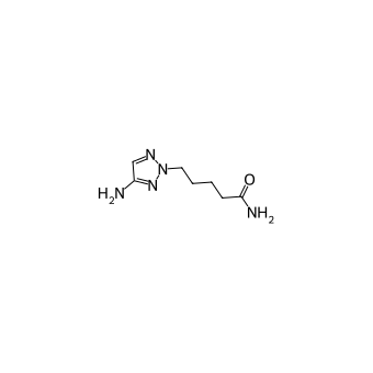 NC(=O)CCCCn1ncc(N)n1